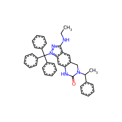 CCNc1nn(C(c2ccccc2)(c2ccccc2)c2ccccc2)c2cc3c(cc12)CN(C(C)c1ccccc1)C(=O)N3